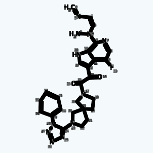 C=N/C=C\N(N)c1ncc(F)c2c(C(=O)C(=O)N3CCC4(CCN(c5nnnn5-c5ccccc5)C4)C3)c[nH]c12